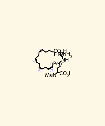 CCCCC/C=C\C/C=C\C/C=C\C/C=C\CCCC(=O)O.CNC(CCCNC(=N)N)C(=O)O